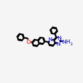 Nc1nc(-c2ccccc2)c2nc(-c3ccc4cc(OCc5ccccc5)ccc4c3)ccc2n1